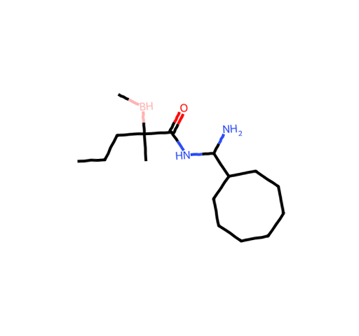 CBC(C)(CCC)C(=O)NC(N)C1CCCCCCC1